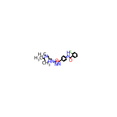 CCC(C)N(C)CCCNc1nnc(-c2ccc(NC(=O)c3ccccc3F)cc2)o1